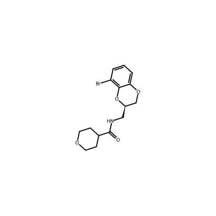 O=C(NC[C@@H]1COc2cccc(Br)c2O1)C1CCOCC1